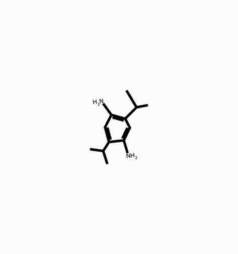 CC(C)c1cc(N)c(C(C)C)cc1N